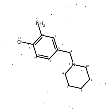 Nc1cc(CN2CCCCC2)ccc1Cl